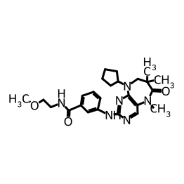 COCCNC(=O)c1cccc(Nc2ncc3c(n2)N(C2CCCC2)CC(C)(C)C(=O)N3C)c1